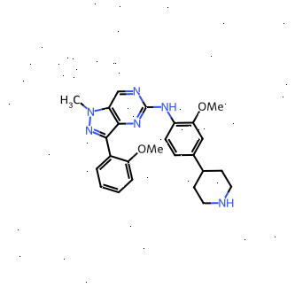 COc1cc(C2CCNCC2)ccc1Nc1ncc2c(n1)c(-c1ccccc1OC)nn2C